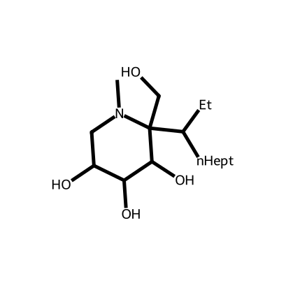 CCCCCCCC(CC)C1(CO)C(O)C(O)C(O)CN1C